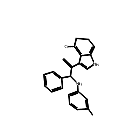 C=C(c1c[nH]c2c1=C(Cl)CCC=2)C(Nc1cccc(C)c1)c1ccccc1